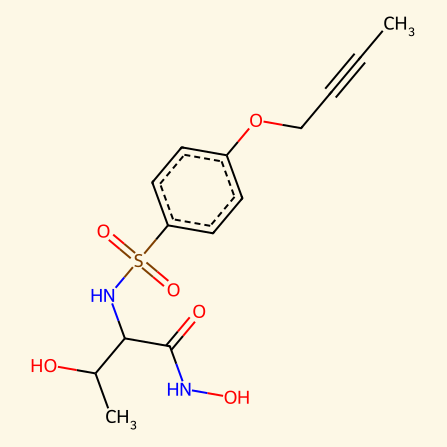 CC#CCOc1ccc(S(=O)(=O)NC(C(=O)NO)C(C)O)cc1